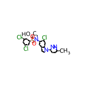 Cc1ccc(-n2ccc3cc(N(CC(=O)O)S(=O)(=O)c4cc(Cl)cc(Cl)c4)c(Cl)cc32)nn1